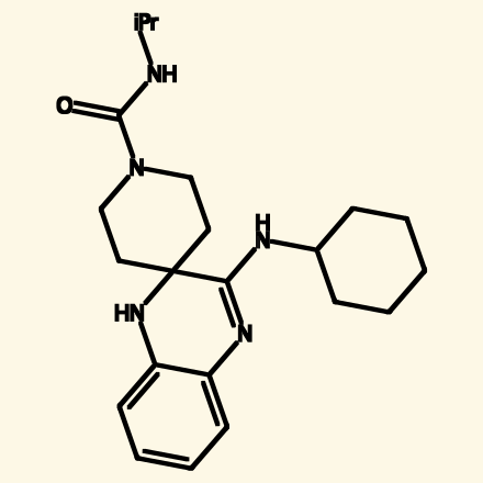 CC(C)NC(=O)N1CCC2(CC1)Nc1ccccc1N=C2NC1CCCCC1